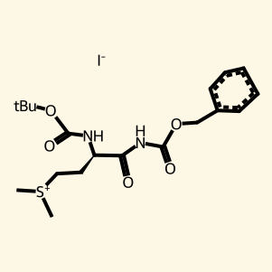 C[S+](C)CC[C@@H](NC(=O)OC(C)(C)C)C(=O)NC(=O)OCc1ccccc1.[I-]